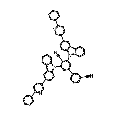 N#Cc1cccc(-c2cc(-n3c4ccccc4c4cc(-c5ccc(-c6ccccc6)nc5)ccc43)c(C#N)c(-n3c4ccccc4c4cc(-c5ccc(-c6ccccc6)nc5)ccc43)c2)c1